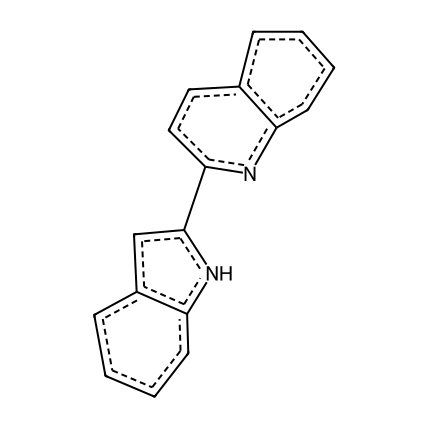 c1ccc2nc(-c3cc4ccccc4[nH]3)ccc2c1